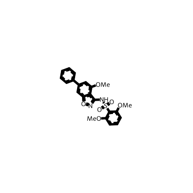 COc1cccc(OC)c1S(=O)(=O)Nc1noc2cc(-c3ccccc3)cc(OC)c12